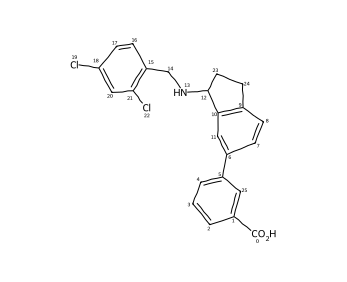 O=C(O)c1cccc(-c2ccc3c(c2)C(NCc2ccc(Cl)cc2Cl)CC3)c1